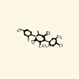 CCc1c(-c2ccc(Cl)c(Cl)c2)c(C(=O)O)c(=O)n(-c2ccc(Cl)cc2F)c1C